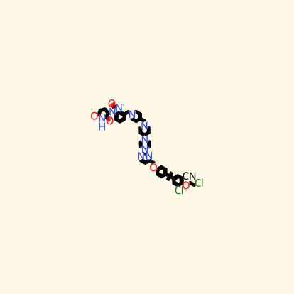 Cn1c(=O)n(C2CCC(=O)NC2=O)c2cccc(CN3CCC(CN4CCC(N5CCN(c6nccc(COc7ccc(C(C)(C)c8cc(Cl)c(OCCCl)c(C#N)c8)cc7)n6)CC5)CC4)CC3)c21